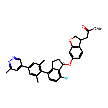 COC(=O)CC1COc2cc(O[C@@H]3CCc4c(-c5c(C)cc(-c6cnnc(C)c6)cc5C)ccc(F)c43)ccc21